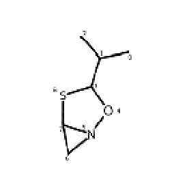 CC(C)C1ON2CC2S1